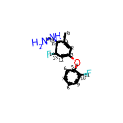 CC1=CC(Oc2ccccc2F)=CC(F)C1NN